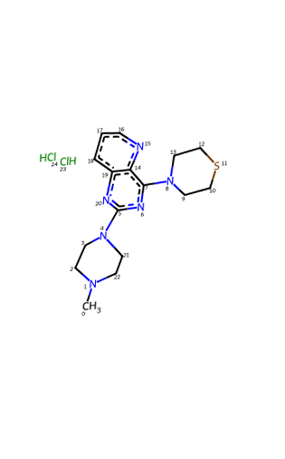 CN1CCN(c2nc(N3CCSCC3)c3ncccc3n2)CC1.Cl.Cl